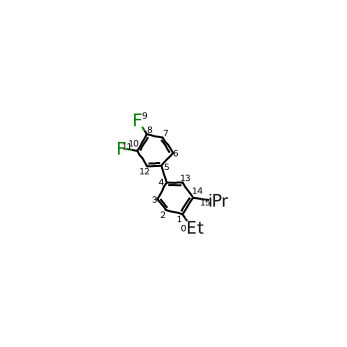 CCc1ccc(-c2ccc(F)c(F)c2)cc1C(C)C